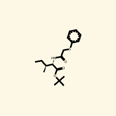 CC[C@H](C)[C@H](NC(=O)CSc1ccccc1)C(=O)OC(C)(C)C